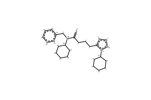 S=C(CCCc1nnnn1C1CCCCC1)N(Cc1cccnn1)C1CCCCC1